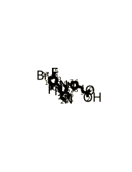 O=C(O)CCC1CCN(c2nc(-c3cc(F)c(Br)cc3F)nc3ccncc23)C1